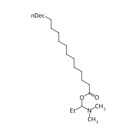 CCCCCCCCCCCCCCCCCCCCCC(=O)OC(CC)N(C)C